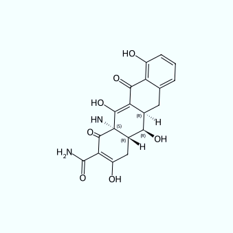 CN[C@@]12C(=O)C(C(N)=O)=C(O)C[C@H]1[C@H](O)[C@@H]1Cc3cccc(O)c3C(=O)C1=C2O